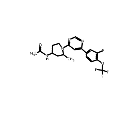 CC(=O)NC1CCN(c2cc(-c3ccc(OC(F)(F)F)c(F)c3)ncn2)C(C)C1